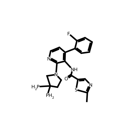 Cc1ncc(C(=O)Nc2c(-c3ccccc3F)ccnc2N2CCC(P)(P)C2)s1